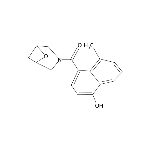 Cc1cccc2c(O)ccc(C(=O)N3CC4CC(C3)O4)c12